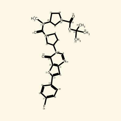 CN(C(=O)N1CCC(n2cnc3cc(-c4ccc(F)cc4)sc3c2=O)C1)C1CCN(C(=O)OC(C)(C)C)C1